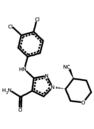 N#C[C@H]1CCOC[C@@H]1n1cc(C(N)=O)c(Nc2ccc(Cl)c(Cl)c2)n1